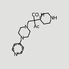 CC(=O)C(CN1CCN(c2ccncc2)CC1)(C(=O)O)C1CCNCC1